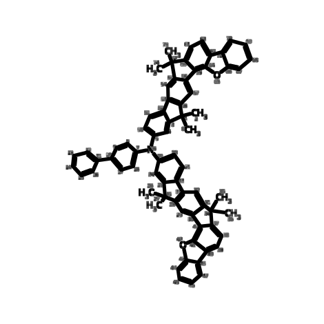 CC1(C)c2cc(N(c3ccc(-c4ccccc4)cc3)c3ccc4c(c3)C(C)(C)c3cc5c(cc3-4)C(C)(C)c3ccc4c(oc6ccccc64)c3-5)ccc2-c2cc3c(cc21)-c1c(ccc2c1oc1ccccc12)C3(C)C